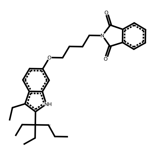 CC[C]C(CC)(CC)c1[nH]c2cc(OCCCCN3C(=O)c4ccccc4C3=O)ccc2c1CC